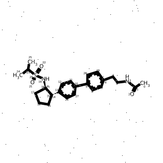 CC(=O)NCCc1ccc(-c2ccc([C@@H]3CCC[C@H]3NS(=O)(=O)C(C)C)cc2)cc1